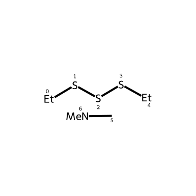 CCSSSCC.CNC